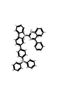 c1ccc(-c2nc(-n3c4ccccc4c4ccc(-c5ccc(N(c6ccccc6)c6ccccc6)cc5)cc43)nc3ccccc23)cc1